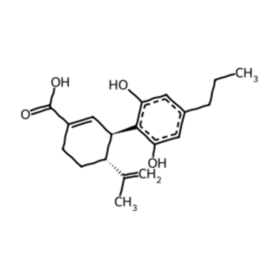 C=C(C)[C@@H]1CCC(C(=O)O)=C[C@H]1c1c(O)cc(CCC)cc1O